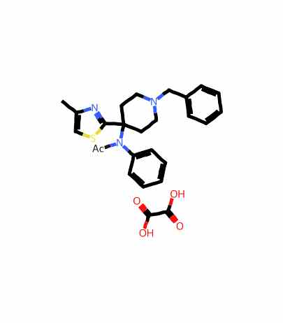 CC(=O)N(c1ccccc1)C1(c2nc(C)cs2)CCN(Cc2ccccc2)CC1.O=C(O)C(=O)O